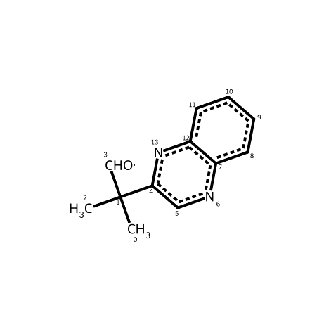 CC(C)([C]=O)c1cnc2ccccc2n1